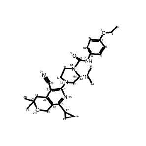 CCOc1ccc(NC(=O)N2CCN(c3nc(C4CC4)c4c(c3C#N)CC(C)(C)OC4)C[C@H]2C(C)C)cc1